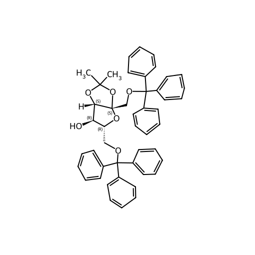 CC1(C)O[C@H]2[C@H](O)[C@@H](COC(c3ccccc3)(c3ccccc3)c3ccccc3)O[C@@]2(COC(c2ccccc2)(c2ccccc2)c2ccccc2)O1